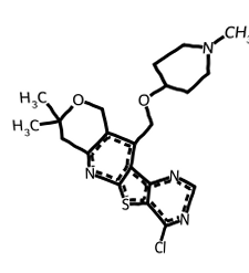 CN1CCC(OCc2c3c(nc4sc5c(Cl)ncnc5c24)CC(C)(C)OC3)CC1